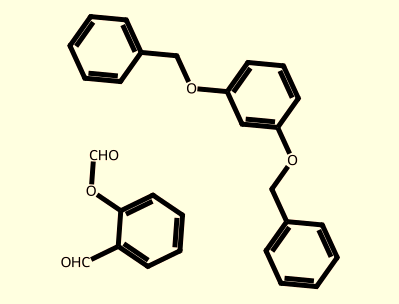 O=COc1ccccc1C=O.c1ccc(COc2cccc(OCc3ccccc3)c2)cc1